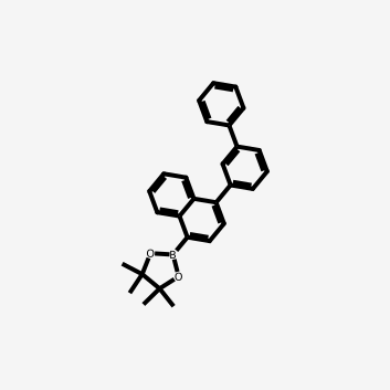 CC1(C)OB(c2ccc(-c3cccc(-c4ccccc4)c3)c3ccccc23)OC1(C)C